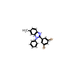 Cc1ccc2nc(-c3cc(Br)cc(Br)c3)n(-c3ccccc3)c2c1